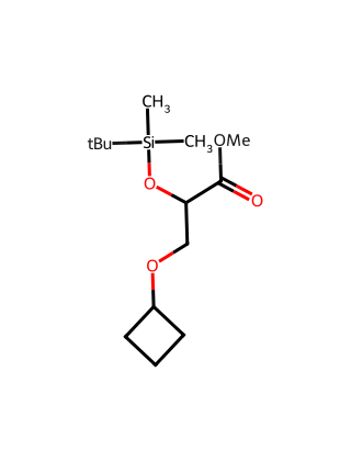 COC(=O)C(COC1CCC1)O[Si](C)(C)C(C)(C)C